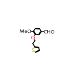 COc1ccc(C=O)cc1OCCc1cccs1